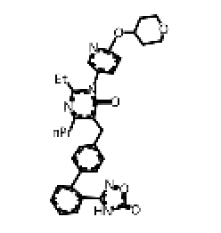 CCCc1nc(CC)n(-c2ccc(OC3CCOCC3)nc2)c(=O)c1Cc1ccc(-c2ccccc2-c2noc(=O)[nH]2)cc1